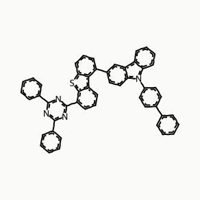 c1ccc(-c2ccc(-n3c4ccccc4c4cc(-c5cccc6sc7c(-c8nc(-c9ccccc9)nc(-c9ccccc9)n8)cccc7c56)ccc43)cc2)cc1